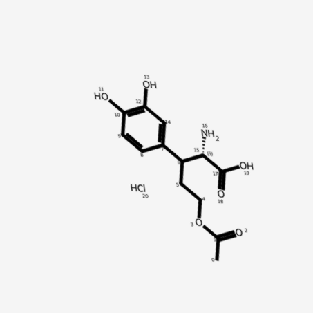 CC(=O)OCCC(c1ccc(O)c(O)c1)[C@H](N)C(=O)O.Cl